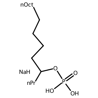 CCCCCCCCCCCCC(CCC)OP(=O)(O)O.[NaH]